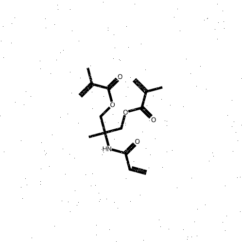 C=CC(=O)NC(C)(COC(=O)C(=C)C)COC(=O)C(=C)C